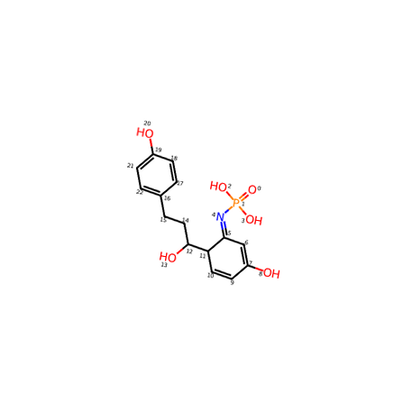 O=P(O)(O)N=C1C=C(O)C=CC1C(O)CCc1ccc(O)cc1